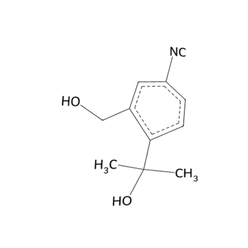 [C-]#[N+]c1ccc(C(C)(C)O)c(CO)c1